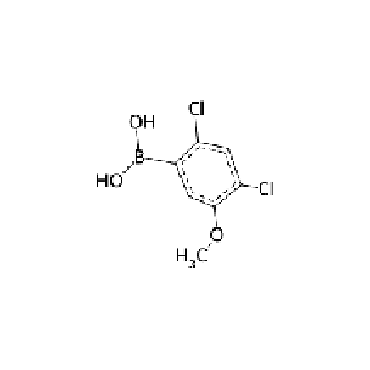 COc1cc(B(O)O)c(Cl)cc1Cl